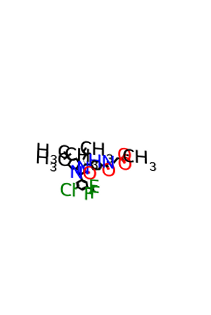 CCCC[C@H](c1ccc(C(=O)NCCC(=O)OC)cc1)N1C(=O)C(c2cc(Cl)cc(C(F)(F)F)c2)=NC12CCC(C(C)(C)C)CC2